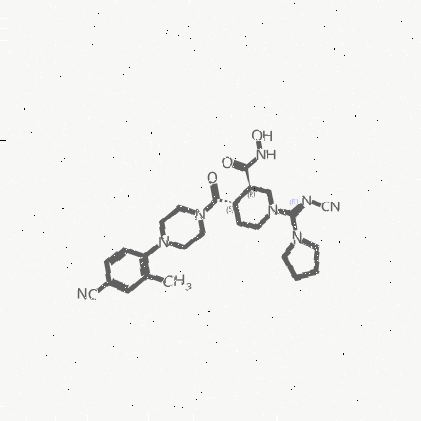 Cc1cc(C#N)ccc1N1CCN(C(=O)[C@H]2CCN(/C(=N/C#N)N3CCCC3)C[C@@H]2C(=O)NO)CC1